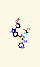 CC(C)Oc1cccc(-c2c[nH]c3ccc(-c4nnc(N[C@@H]5CCCNC5)s4)cc23)n1.O=C(O)C(F)(F)F